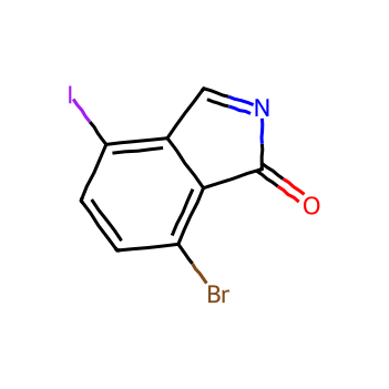 O=C1N=Cc2c(I)ccc(Br)c21